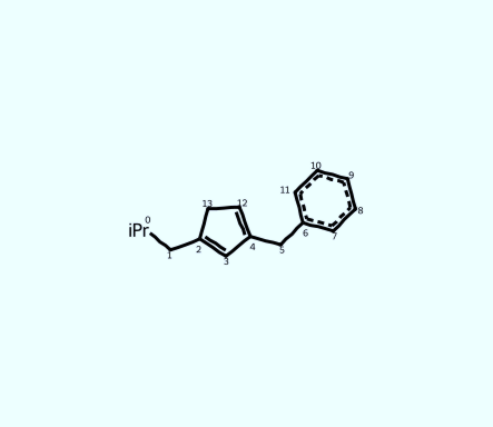 CC(C)CC1=CC(Cc2ccccc2)=CC1